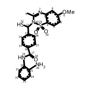 COc1ccc2c(c1)N=C(C)N(C(S)c1ccc(C(=O)Nc3ccccc3N)cc1)S2(=O)=O